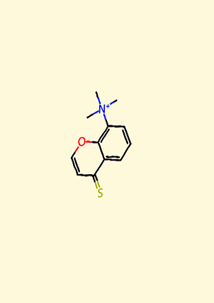 C[N+](C)(C)c1cccc2c(=S)ccoc12